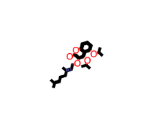 CC(C)=CCC/C(C)=C/COc1c(OC(C)C)c2c(OC(C)C)cccc2oc1=O